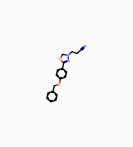 N#CCCN1COC(c2ccc(OCc3ccccc3)cc2)=N1